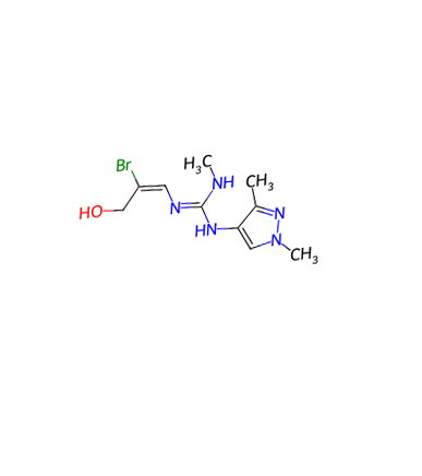 CN/C(=N\C=C(\Br)CO)Nc1cn(C)nc1C